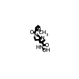 Cn1cccc1C(=O)N1CCc2cc(C(=O)NO)cnc2C1